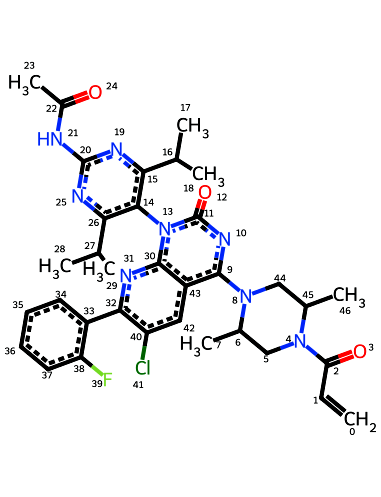 C=CC(=O)N1CC(C)N(c2nc(=O)n(-c3c(C(C)C)nc(NC(C)=O)nc3C(C)C)c3nc(-c4ccccc4F)c(Cl)cc23)CC1C